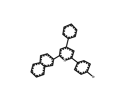 Brc1ccc(-c2cc(-c3ccccc3)cc(-c3ccc4ccccc4c3)n2)cc1